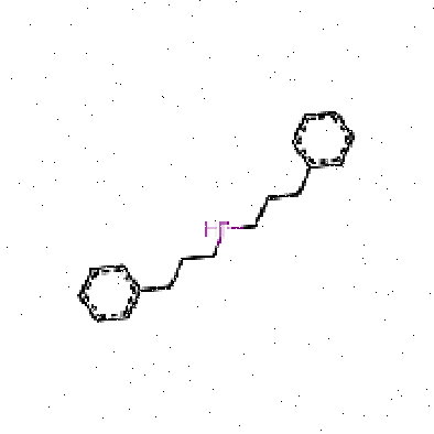 c1ccc(CCCPCCCc2ccccc2)cc1